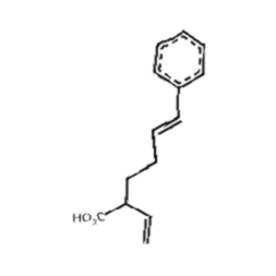 C=CC(CCC=Cc1ccccc1)C(=O)O